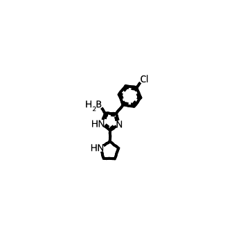 Bc1[nH]c(C2CCCN2)nc1-c1ccc(Cl)cc1